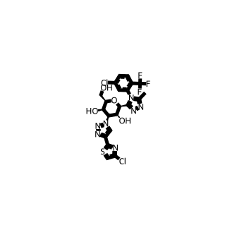 Cc1nnc([C@@H]2O[C@H](CO)[C@H](O)[C@H](n3cc(-c4nc(Cl)cs4)nn3)[C@H]2O)n1-c1cc(Cl)ccc1C(F)(F)F